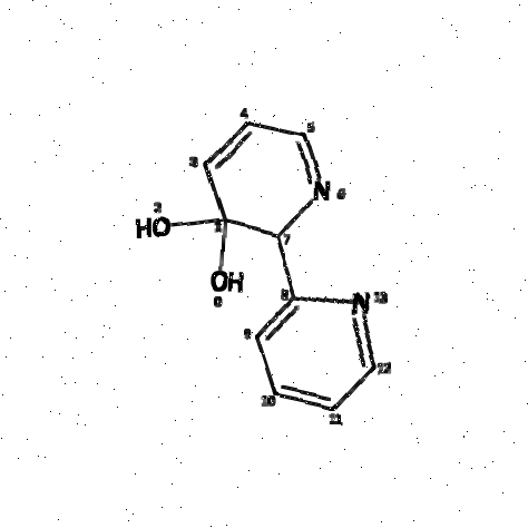 OC1(O)C=CC=NC1c1ccccn1